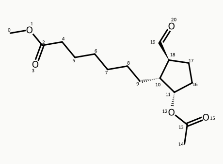 COC(=O)CCCCCC[C@H]1[C@@H](OC(C)=O)CC[C@@H]1C=O